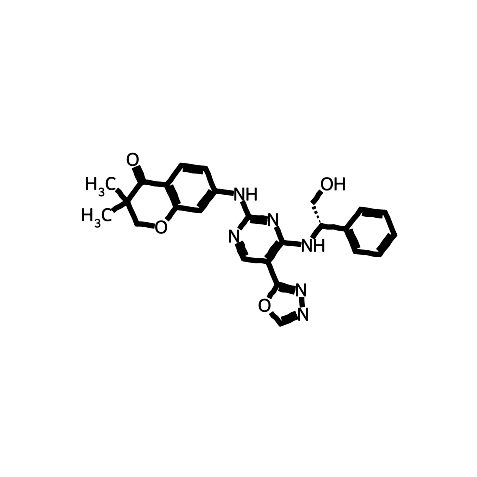 CC1(C)COc2cc(Nc3ncc(-c4nnco4)c(N[C@H](CO)c4ccccc4)n3)ccc2C1=O